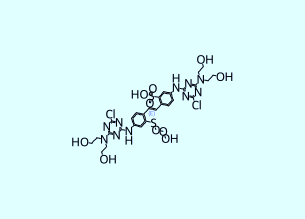 O=S(=O)(O)c1cc(Nc2nc(Cl)nc(N(CCO)CCO)n2)ccc1/C=C/c1ccc(Nc2nc(Cl)nc(N(CCO)CCO)n2)cc1SOOO